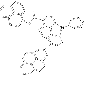 c1cncc(-n2c3ccc(-c4cc5ccc6cccc7ccc(c4)c5c67)c4ccc5c(-c6cc7ccc8cccc9ccc(c6)c7c89)ccc2c5c43)c1